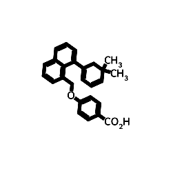 CC1(C)C=CC=C(c2cccc3cccc(COc4ccc(C(=O)O)cc4)c23)C1